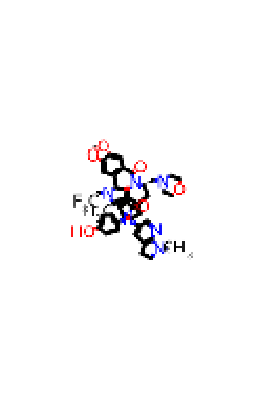 Cc1c(C(=O)N(c2ccc(O)cc2)c2cnc3c(c2)CCN3C)cc(-c2cc3c(cc2C(=O)N2Cc4ccccc4C[C@H]2CN2CCOCC2)OCO3)n1CC(F)(F)F